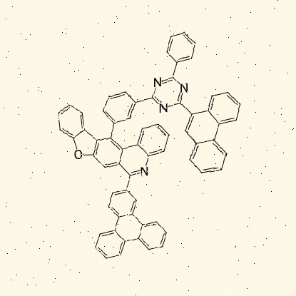 c1ccc(-c2nc(-c3cccc(-c4c5c(cc6c(-c7ccc8c9ccccc9c9ccccc9c8c7)nc7ccccc7c46)oc4ccccc45)c3)nc(-c3cc4ccccc4c4ccccc34)n2)cc1